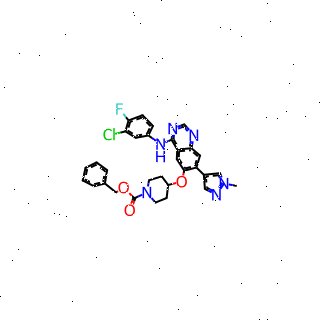 Cn1cc(-c2cc3ncnc(Nc4ccc(F)c(Cl)c4)c3cc2OC2CCN(C(=O)OCc3ccccc3)CC2)cn1